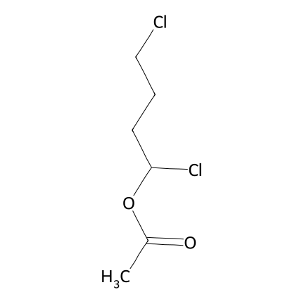 CC(=O)OC(Cl)CCCCl